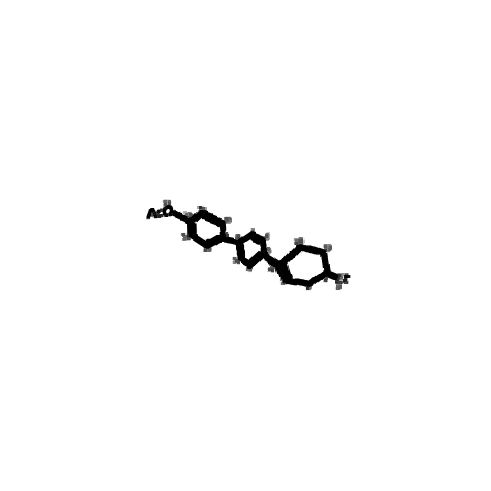 CCC1CC=C(c2ccc(-c3ccc(OC(C)=O)cc3)cc2)CC1